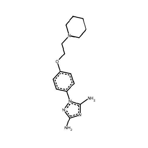 Nc1nc(N)n(-c2ccc(OCCN3CCCCC3)cc2)n1